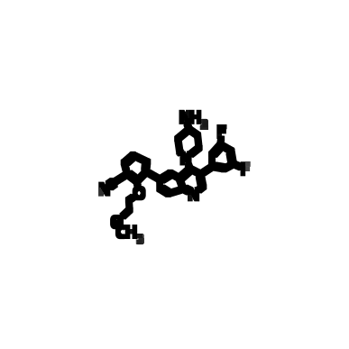 COCCOc1c(C#N)cccc1-c1ccc2ncc(-c3cc(F)cc(F)c3)c(N3CCC(N)CC3)c2c1